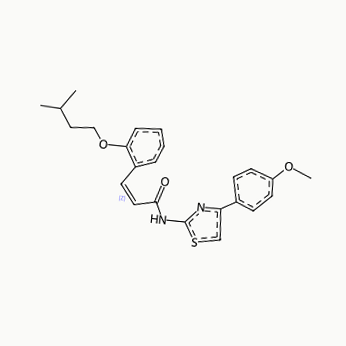 COc1ccc(-c2csc(NC(=O)/C=C\c3ccccc3OCCC(C)C)n2)cc1